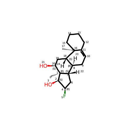 C[C@@]12[C@H](O)[C@H](F)C[C@H]1[C@@H]1CC=C3CCCC[C@]3(C)[C@H]1C[C@@H]2O